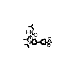 C=C(C)N1c2ccc(-c3ccc(S(C)(=O)=O)cc3)cc2N(C(=O)NCC(C)C)C[C@@H]1C